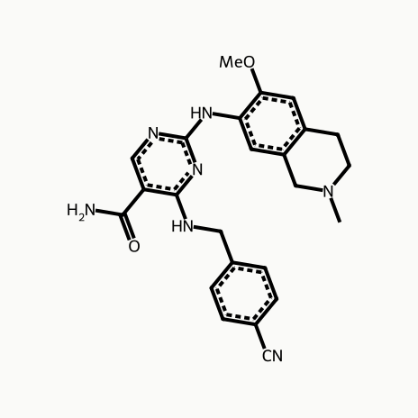 COc1cc2c(cc1Nc1ncc(C(N)=O)c(NCc3ccc(C#N)cc3)n1)CN(C)CC2